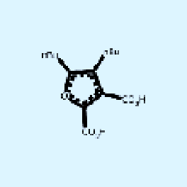 CCCCc1oc(C(=O)O)c(C(=O)O)c1CCCC